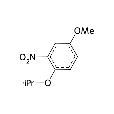 COc1ccc(O[C](C)C)c([N+](=O)[O-])c1